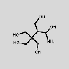 NC(O)C(CO)C(CO)(CO)CO